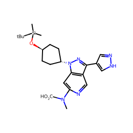 CN(C(=O)O)c1cc2c(cn1)c(-c1cn[nH]c1)nn2[C@H]1CC[C@H](O[Si](C)(C)C(C)(C)C)CC1